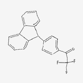 O=C(c1ccc(C2c3ccccc3-c3ccccc32)cc1)C(F)(F)F